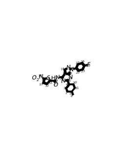 CC1CC=C(c2nc(NC(=O)c3ccc([N+](=O)[O-])s3)c3cnn(-c4ccc(F)cc4)c3n2)CC1